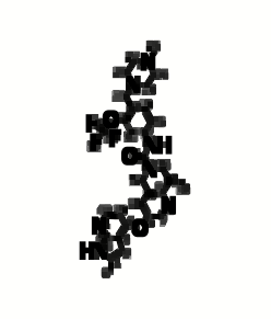 Cc1cc2c(Oc3cnc4c(c3)CN(C(=O)Nc3ccc(CN5CCN(C)CC5)c(OC(F)(F)F)c3)C[C@H]4C)ccnc2[nH]1